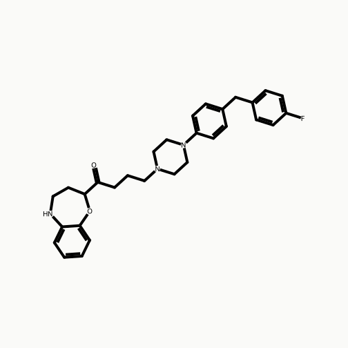 O=C(CCCN1CCN(c2ccc(Cc3ccc(F)cc3)cc2)CC1)C1CCNc2ccccc2O1